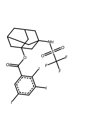 O=C(OC12CC3CC(CC(NS(=O)(=O)C(F)(F)F)(C3)C1)C2)c1cc(I)cc(I)c1I